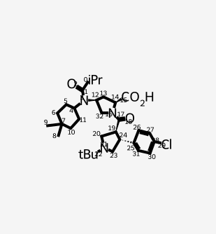 CC(C)C(=O)N(C1CCC(C)(C)CC1)[C@H]1C[C@@H](C(=O)O)N(C(=O)[C@@H]2CN(C(C)(C)C)C[C@H]2c2ccc(Cl)cc2)C1